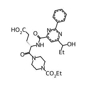 CCOC(=O)N1CCN(C(=O)[C@H](CCC(=O)O)NC(=O)c2cc(C(O)CC)nc(-c3ccccc3)n2)CC1